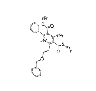 CCCOC(=O)c1c(CCC)c(C(=O)SCC)c(CCOCc2ccccc2)[n+](C)c1-c1ccccc1.[I-]